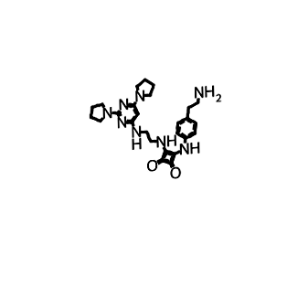 NCCc1ccc(Nc2c(NCCNc3cc(N4CCCC4)nc(N4CCCC4)n3)c(=O)c2=O)cc1